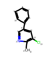 Cc1ncc(-c2ccccc2)cc1Cl